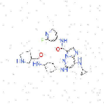 O=C(Nc1ccnc(F)c1)c1cnc2c(NC3CC3)cc(N[C@H]3CC[C@H](NC(=O)C4CCCNC4)CC3)nn12